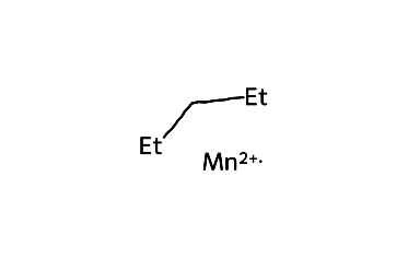 CCCCC.[Mn+2]